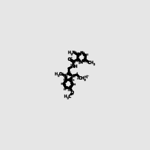 CCn1c(CNC(=O)c2nc(C)cnc2N)[n+](C)c2ccc(OC)cc21.[I-]